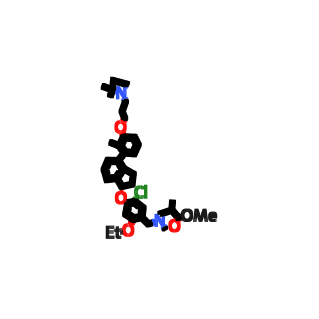 CCOc1cc(O[C@H]2CCc3c(-c4cccc(OCCCN5CCC5(C)C)c4C)cccc32)c(Cl)cc1CN(C)CC(C)C(=O)OC